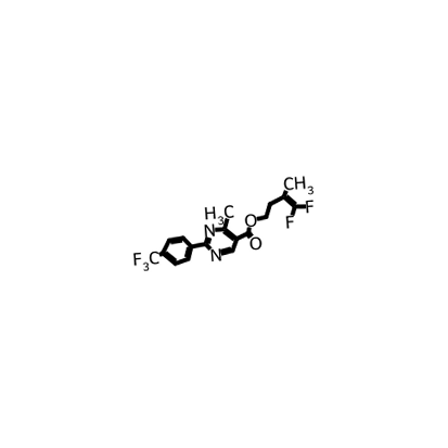 CC(CCOC(=O)c1cnc(-c2ccc(C(F)(F)F)cc2)nc1C)=C(F)F